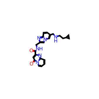 O=C(NCc1cn2cc(CNCCC3CC3)ccc2n1)c1cc(=O)n2ccccc2n1